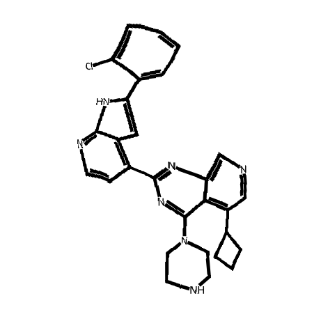 Clc1ccccc1-c1cc2c(-c3nc(N4CCNCC4)c4c(C5CCC5)cncc4n3)ccnc2[nH]1